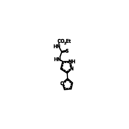 CCOC(=O)NC(=S)Nc1cc(-c2ccco2)n[nH]1